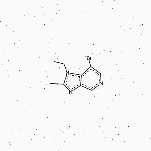 CCn1c(C)nc2cncc(Br)c21